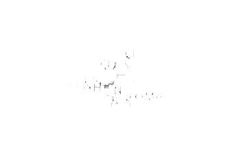 COC(=O)[C@@H]1Cc2cc(C)ccc2[C@@]23C[C@H](C)[C@@H](C[N+](=O)[O-])[C@@H]2CC(=O)N13